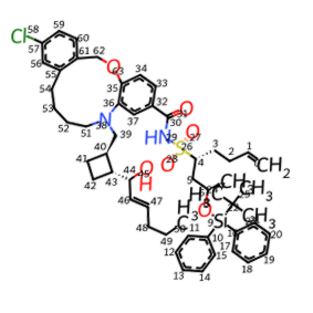 C=CCC[C@H](C[C@@H](C)O[Si](c1ccccc1)(c1ccccc1)C(C)(C)C)S(=O)(=O)NC(=O)c1ccc2c(c1)N(C[C@@H]1CC[C@H]1C(O)/C=C/CCC)CCCCc1cc(Cl)ccc1CO2